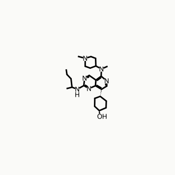 CCCC(C)Nc1ncc2c(N(C)C3CCN(C)CC3)ncc([C@H]3CC[C@H](O)CC3)c2n1